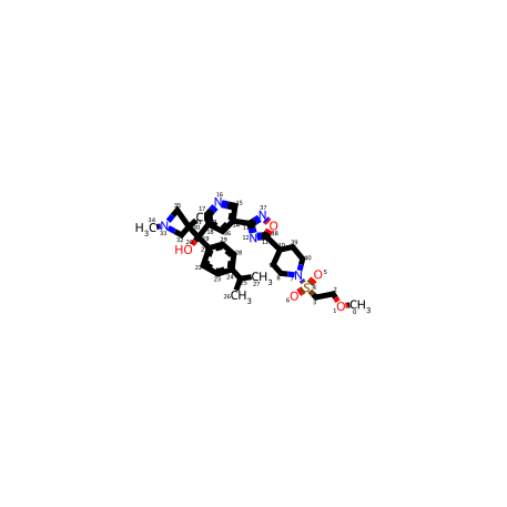 COCCS(=O)(=O)N1CCC(c2nc(-c3cncc(C(O)(c4ccc(C(C)C)cc4)C4(C)CN(C)C4)c3)no2)CC1